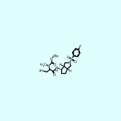 CC(C)CC(C(=O)N[C@@H]1CC[C@H]2CN(S(=O)(=O)c3ccc(F)cc3)C[C@H]21)N(C)C(=O)OC(C)(C)C